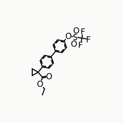 CCOC(=O)C1(c2ccc(-c3ccc(OS(=O)(=O)C(F)(F)F)cc3)cc2)CC1